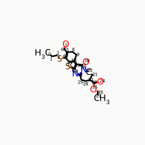 CCCSC1=C(C=O)CCc2c1sc1nc3n(c(=O)c21)CCC(C(=O)OCC)CC3